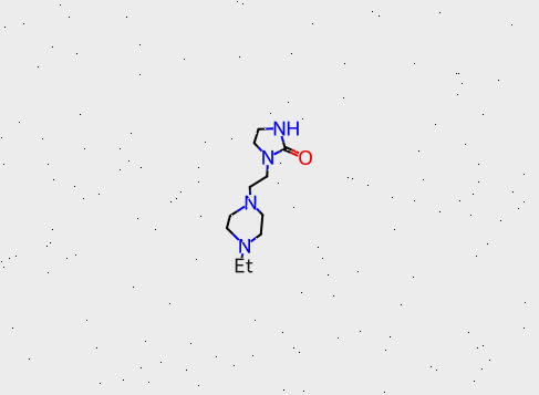 CCN1CCN(CCN2CCNC2=O)CC1